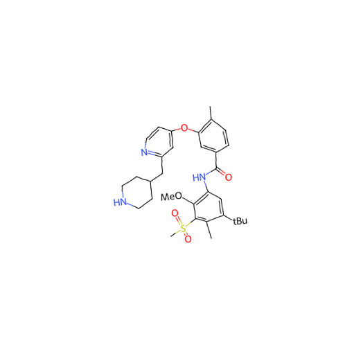 COc1c(NC(=O)c2ccc(C)c(Oc3ccnc(CC4CCNCC4)c3)c2)cc(C(C)(C)C)c(C)c1S(C)(=O)=O